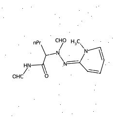 CCCC(C(=O)NC=O)N(C=O)/N=c1/ccccn1C